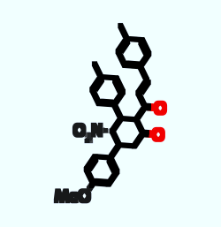 COc1ccc(C2CC(=O)C(C(=O)/C=C/c3ccc(C)cc3)C(c3ccc(C)cc3)[C@H]2[N+](=O)[O-])cc1